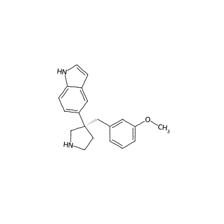 COc1cccc(C[C@]2(c3ccc4[nH]ccc4c3)CCNC2)c1